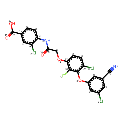 N#Cc1cc(Cl)cc(Oc2c(Cl)ccc(OCC(=O)Nc3ccc(C(=O)O)cc3Cl)c2F)c1